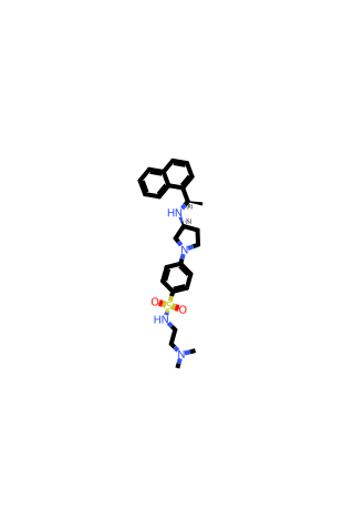 C[C@@H](N[C@H]1CCN(c2ccc(S(=O)(=O)NCCN(C)C)cc2)C1)c1cccc2ccccc12